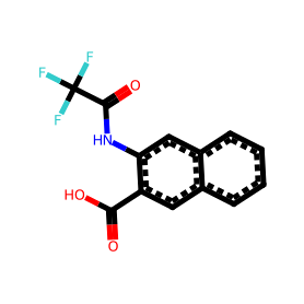 O=C(O)c1cc2ccccc2cc1NC(=O)C(F)(F)F